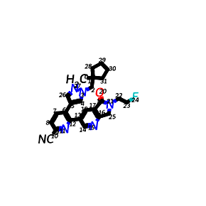 CC1(Cn2cc(-c3ccc(C#N)nc3-c3cnc4c(c3)C(=O)N(CCF)C4)cn2)CCCC1